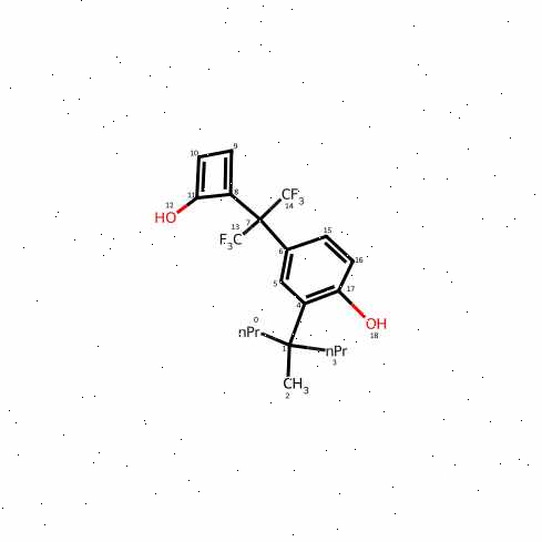 CCCC(C)(CCC)c1cc(C(C2=CC=C2O)(C(F)(F)F)C(F)(F)F)ccc1O